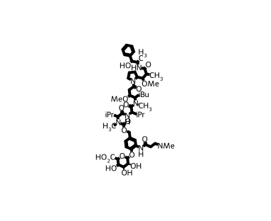 CCC(C)C(C(CC(=O)N1CCCC1C(OC)C(C)C(=O)NC(C)C(O)c1ccccc1)OC)N(C)C(=O)C(NC(=O)C(C(C)C)N(C)C(=O)OCc1ccc(OC2OC(C(=O)O)C(O)[C@H](O)[C@@H]2O)c(NC(=O)CCNC)c1)C(C)C